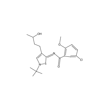 COc1ccc(Cl)cc1C(=O)N=c1sn(C(C)(C)C)cc1CCC(C)O